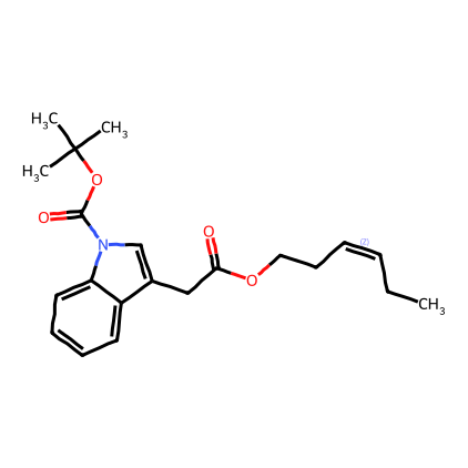 CC/C=C\CCOC(=O)Cc1cn(C(=O)OC(C)(C)C)c2ccccc12